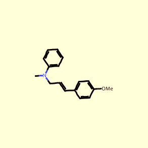 COc1ccc(/C=C/CN(C)c2ccccc2)cc1